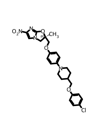 C[C@]1(COc2ccc(N3CCC(COc4ccc(Cl)cc4)CC3)cc2)Cn2cc([N+](=O)[O-])nc2O1